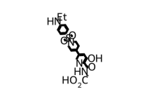 CCNc1ccc(S(=O)(=O)N2CC=C(c3cnc(C(=O)NCC(=O)O)c(O)c3)CC2)cc1